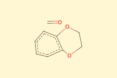 C=O.c1ccc2c(c1)OCCO2